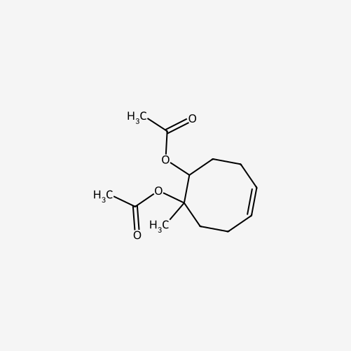 CC(=O)OC1CC/C=C\CCC1(C)OC(C)=O